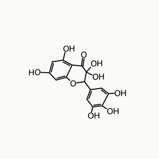 O=C1c2c(O)cc(O)cc2OC(c2cc(O)c(O)c(O)c2)C1(O)O